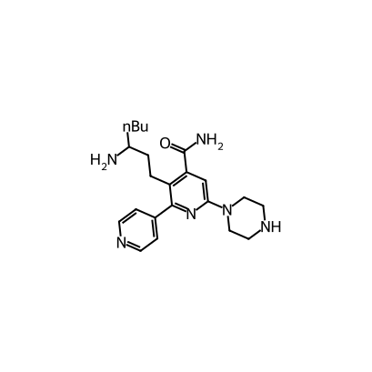 CCCCC(N)CCc1c(C(N)=O)cc(N2CCNCC2)nc1-c1ccncc1